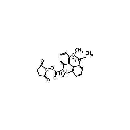 CCN(CC)c1cccc(C)c1-c1c(C)cccc1NC(=O)ON1C(=O)CCC1=O